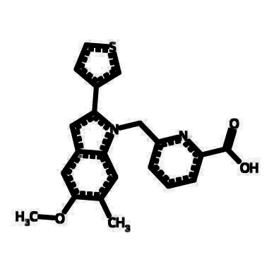 COc1cc2cc(-c3ccsc3)n(Cc3cccc(C(=O)O)n3)c2cc1C